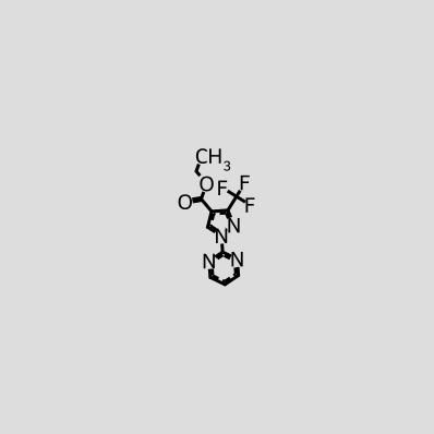 CCOC(=O)c1cn(-c2ncccn2)nc1C(F)(F)F